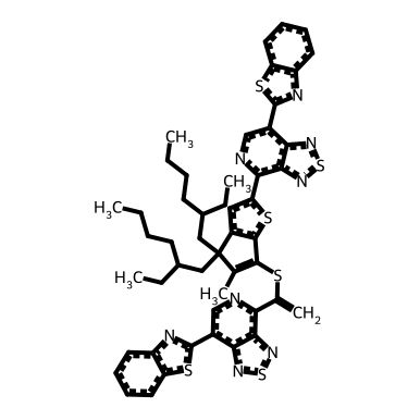 C=C(SC1=C(C)C(CC(CC)CCCC)(CC(CC)CCCC)c2cc(-c3ncc(-c4nc5ccccc5s4)c4nsnc34)sc21)c1ncc(-c2nc3ccccc3s2)c2nsnc12